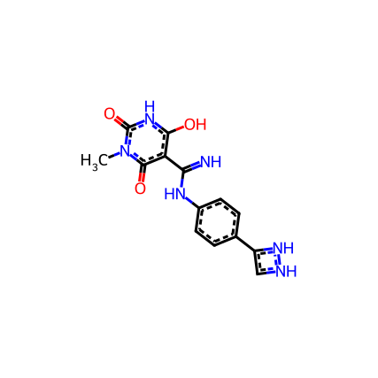 Cn1c(=O)[nH]c(O)c(C(=N)Nc2ccc(-c3c[nH][nH]3)cc2)c1=O